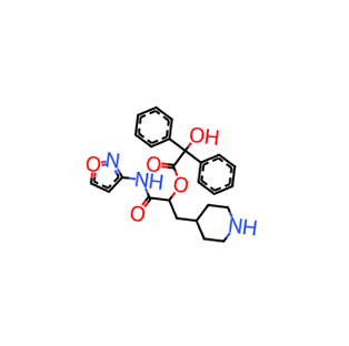 O=C(Nc1ccon1)C(CC1CCNCC1)OC(=O)C(O)(c1ccccc1)c1ccccc1